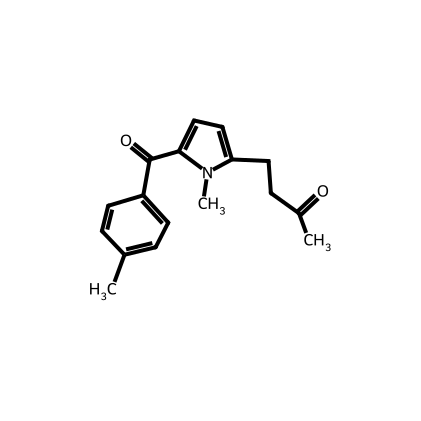 CC(=O)CCc1ccc(C(=O)c2ccc(C)cc2)n1C